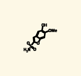 COc1cc2oc(S(N)(=O)=O)cc2cc1O